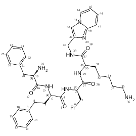 CC(C)C[C@@H](NC(=O)[C@@H](CCc1ccccc1)NC(=O)[C@H](N)Cc1ccccc1)C(=O)N[C@H](CCCCCN)C(=O)NCc1cn2ccccc2n1